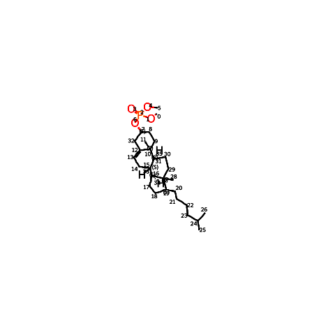 COP(=O)(OC)O[C@H]1CC[C@@]2(C)C(=CC[C@H]3[C@@H]4CC[C@H](CCCCC(C)C)[C@@]4(C)CC[C@@H]32)C1